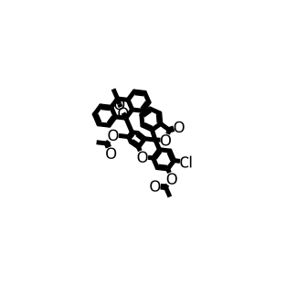 CC(=O)Oc1cc2c(cc1Cl)C1(OC(=O)c3ccccc31)c1cc(C34OOC(C)(c5ccccc53)C3C=CC=CC34)c(OC(C)=O)cc1O2